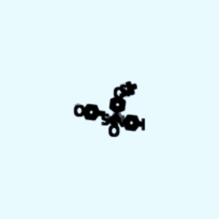 COc1ccc(CS[C@H]2C(=O)N(c3ccc(I)cc3)[C@@H]2c2ccc(O[Si](C)(C)C(C)(C)C)cc2)cc1